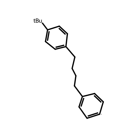 CC(C)(C)c1ccc(CCCCc2cc[c]cc2)cc1